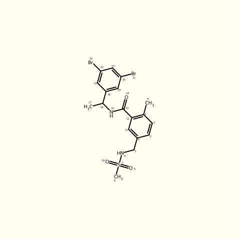 Cc1ccc(CNS(C)(=O)=O)cc1C(=O)NC(C)c1cc(Br)cc(Br)c1